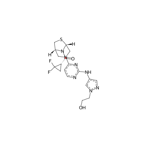 O=C([C@@H]1CC1(F)F)N1[C@H]2CS[C@@H]1CN(c1ccnc(Nc3cnn(CCO)c3)n1)C2